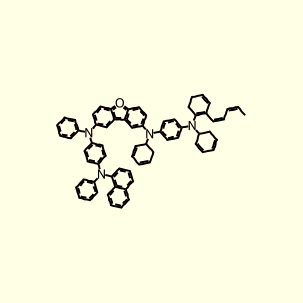 C/C=C\C=C/C1=C(N(c2ccc(N(c3ccc4oc5ccc(N(c6ccccc6)c6ccc(N(c7ccccc7)c7cccc8ccccc78)cc6)cc5c4c3)C3C=CC=CC3)cc2)C2C=CC=CC2)CCC=C1